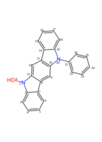 On1c2ccccc2c2cc3c(cc21)c1ccccc1n3-c1ccccc1